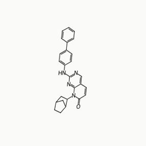 O=c1ccc2cnc(Nc3ccc(-c4ccccc4)cc3)nc2n1C1CC2CCC1C2